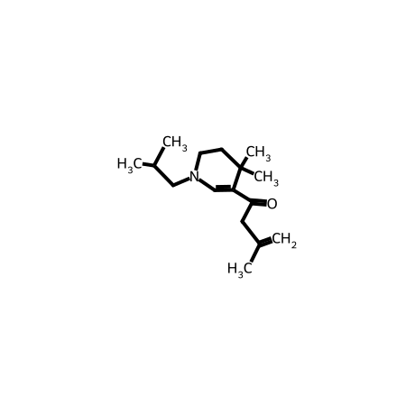 C=C(C)CC(=O)C1=CN(CC(C)C)CCC1(C)C